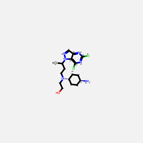 CC(CCN(CCO)[C@H]1CC[C@H](N)CC1)n1ncc2nc(Cl)nc(Cl)c21